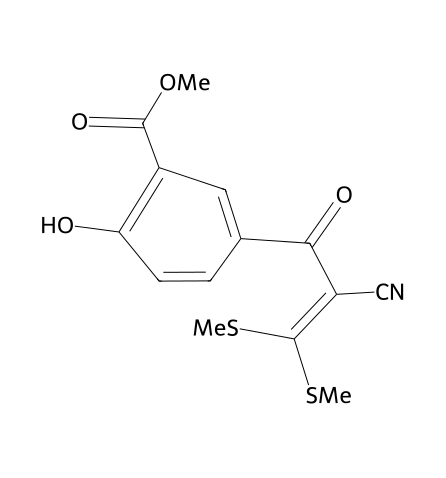 COC(=O)c1cc(C(=O)C(C#N)=C(SC)SC)ccc1O